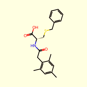 Cc1cc(C)c(CC(=O)N[C@@H](CSCc2ccccc2)C(=O)O)c(C)c1